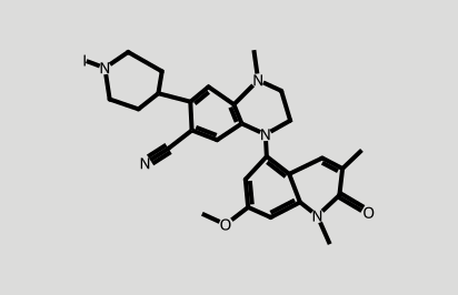 COc1cc(N2CCN(C)c3cc(C4CCN(I)CC4)c(C#N)cc32)c2cc(C)c(=O)n(C)c2c1